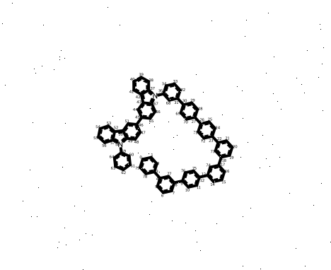 c1ccc(-c2cccc(-c3ccc(-c4cccc(-c5cccc(-c6ccc(-c7ccc(-c8cccc(-n9c%10ccccc%10c%10cc(-c%11ccc%12c(c%11)c%11ccccc%11n%12-c%11ccccc%11)ccc%109)c8)cc7)cc6)c5)c4)cc3)c2)cc1